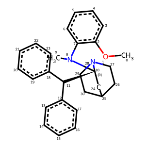 COc1ccccc1N(C)[C@@]1(C(c2ccccc2)c2ccccc2)CC2CCN1CC2